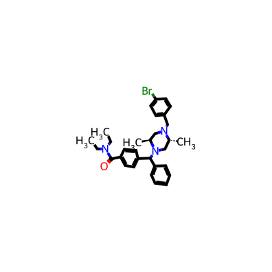 CCN(CC)C(=O)c1ccc(C(c2ccccc2)N2C[C@@H](C)N(Cc3ccc(Br)cc3)C[C@@H]2C)cc1